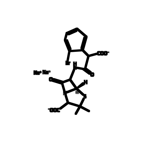 CC1(C)S[C@H]2C(NC(=O)C(C(=O)[O-])c3ccccc3Br)C(=O)N2C1C(=O)[O-].[Na+].[Na+]